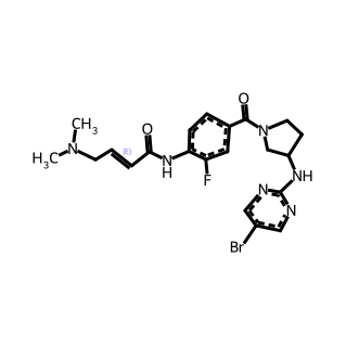 CN(C)C/C=C/C(=O)Nc1ccc(C(=O)N2CCC(Nc3ncc(Br)cn3)C2)cc1F